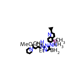 Bc1cnc(N/C(CC)=C(C)/C=C(\C(C)OC)N2CCCCC2)nc1Nc1ccc2nc(C3CC3)ccc2c1P(C)C